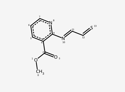 COC(=O)c1cccnc1N=CC=S